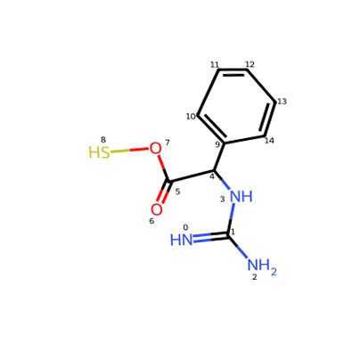 N=C(N)NC(C(=O)OS)c1ccccc1